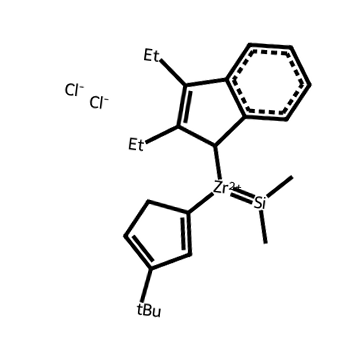 CCC1=C(CC)[CH]([Zr+2]([C]2=CC(C(C)(C)C)=CC2)=[Si](C)C)c2ccccc21.[Cl-].[Cl-]